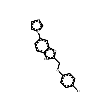 Clc1ccc(OCc2nc3cc(-n4ccnc4)ccc3[nH]2)cc1